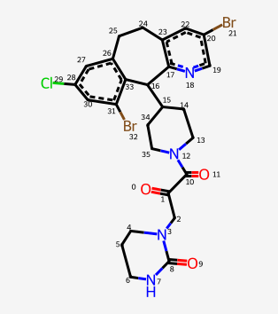 O=C(CN1CCCNC1=O)C(=O)N1CCC(C2c3ncc(Br)cc3CCc3cc(Cl)cc(Br)c32)CC1